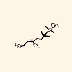 CC/C(=C\CO)CCC(C)(C)[Si](C)(C)O